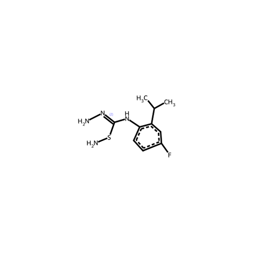 CC(C)c1cc(F)ccc1N/C(=N/N)SN